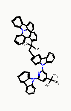 CC(C)(C)c1cc(-n2c3ccccc3c3ccccc32)nc(-n2c3ccccc3c3cc(CC(C)(C)c4ccccc4-c4ccccc4-n4c5ccccc5c5ccccc54)ccc32)c1